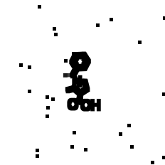 CC1C(C(=O)O)CCN1[C@H](C)c1ccccc1